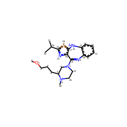 COCCCC1CN(C2=Nc3ccccc3Nc3sc(C(C)C)nc32)CCN1C